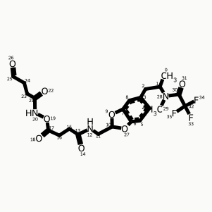 CC(Cc1ccc2c(c1)OC(CNC(=O)CCC(=O)ONC(=O)CCC=O)O2)N(C)C(=O)C(F)(F)F